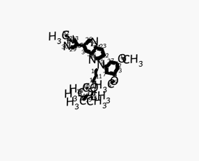 COc1cc(OC)cc(N(CCCO[Si](C)(C)C(C)(C)C)c2ccc3ncc(-c4cnn(C)c4)cc3n2)c1